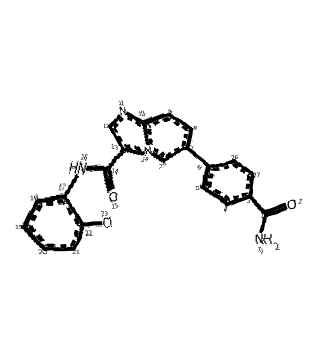 NC(=O)c1ccc(-c2ccc3ncc(C(=O)Nc4ccccc4Cl)n3c2)cc1